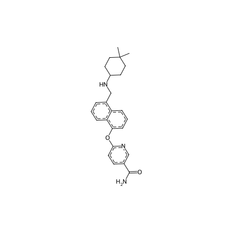 CC1(C)CCC(NCc2cccc3c(Oc4ccc(C(N)=O)cn4)cccc23)CC1